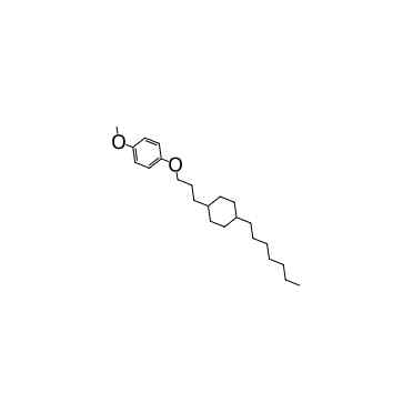 CCCCCCCC1CCC(CCCOc2ccc(OC)cc2)CC1